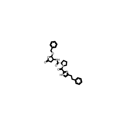 O=C1CC(NC(=O)[C@@H]2CCCN2C(=O)c2nc(CCc3ccccc3)c[nH]2)C(OCc2ccccc2)O1